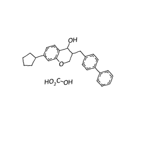 O=C(O)O.OC1c2ccc(C3CCCC3)cc2OCC1Cc1ccc(-c2ccccc2)cc1